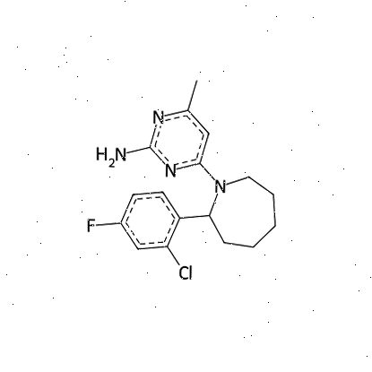 Cc1cc(N2CCCCCC2c2ccc(F)cc2Cl)nc(N)n1